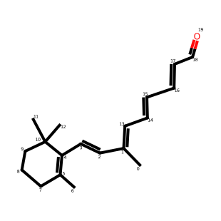 CC(C=CC1=C(C)CCCC1(C)C)=CC=CC=CC=O